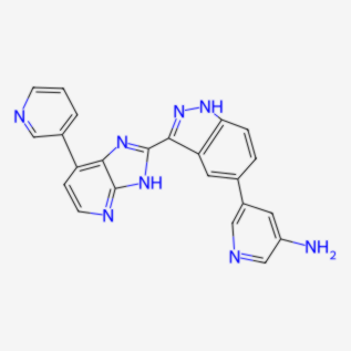 Nc1cncc(-c2ccc3[nH]nc(-c4nc5c(-c6cccnc6)ccnc5[nH]4)c3c2)c1